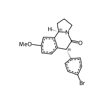 COc1ccc2c(c1)[C@H]1CCCN1C(=O)[C@@H]2c1ccc(Br)cc1